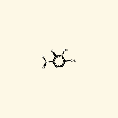 Cc1ccc([N+](=O)[O-])c(=O)n1O